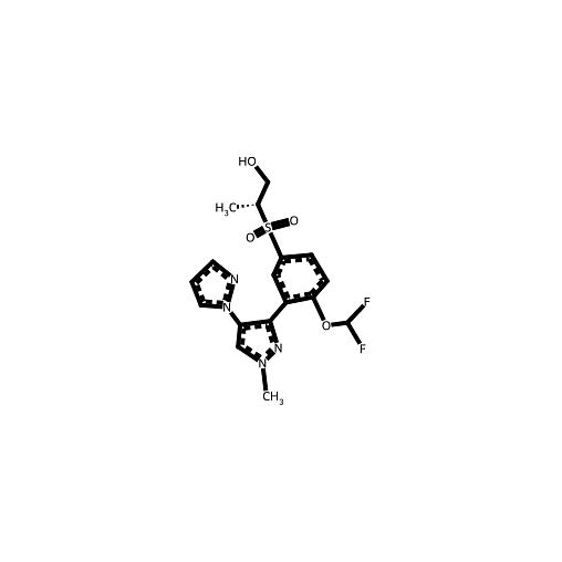 C[C@H](CO)S(=O)(=O)c1ccc(OC(F)F)c(-c2nn(C)cc2-n2cccn2)c1